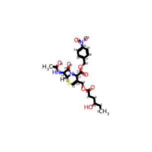 CCC(O)CCC(=O)OCC1=CS[C@H]2C(NC(C)=O)C(=O)N2C1C(=O)OCc1ccc([N+](=O)[O-])cc1